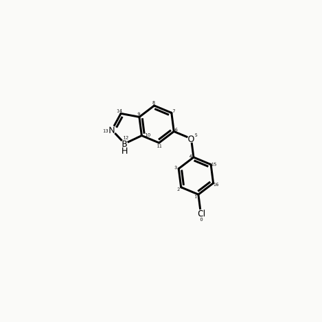 Clc1ccc(Oc2ccc3c(c2)BN=C3)cc1